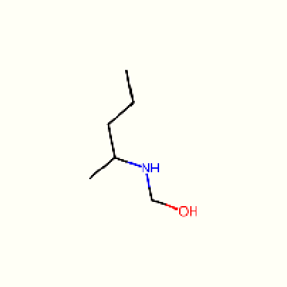 CCCC(C)NCO